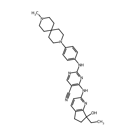 CCC1(O)CCc2ccc(Nc3nc(Nc4ccc(N5CCC6(CCN(C)CC6)CC5)cc4)ncc3C#N)nc21